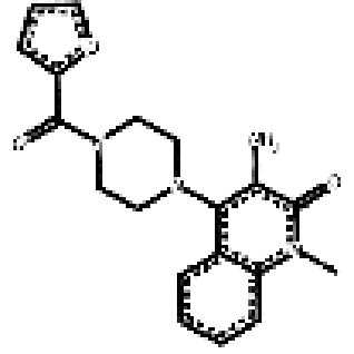 Cn1c(=O)c(N)c(N2CCN(C(=O)c3ccco3)CC2)c2ccccc21